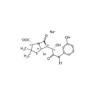 CCN(C(=O)[C@@H](O)[C@@H]1C(=O)N2[C@@H]1SC(C)(C)[C@@H]2C(=O)[O-])c1cccc(O)c1.[Na+]